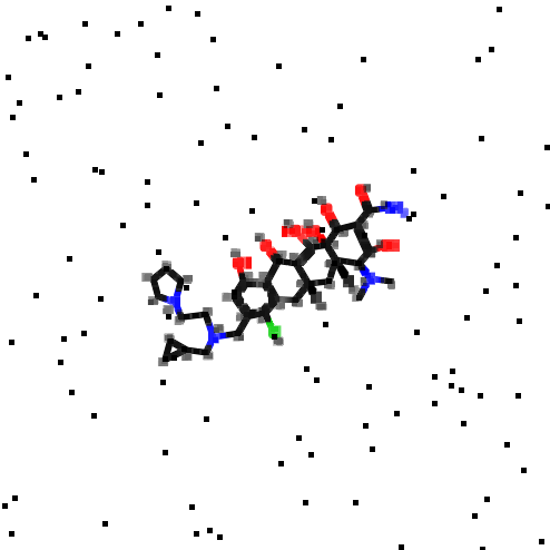 CN(C)[C@@H]1C(O)=C(C(N)=O)C(=O)[C@@]2(O)C(O)=C3C(=O)c4c(O)cc(CN(CCN5CCCC5)CC5CC5)c(Cl)c4C[C@H]3C[C@@H]12